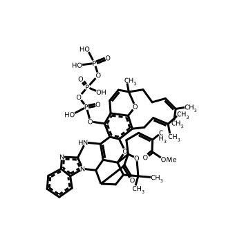 COC(=O)/C(C)=C\CC12OC(C)(C)C3CC(C1=O)C1C4=C(Nc5nc6ccccc6n51)c1c(OP(=O)(O)OP(=O)(O)OP(=O)(O)O)c5c(c(CC=C(C)C)c1OC432)OC(C)(CCC=C(C)C)C=C5